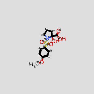 COc1ccc(S(=O)(=O)N2CCC[C@]2(O)C(=O)O)cc1